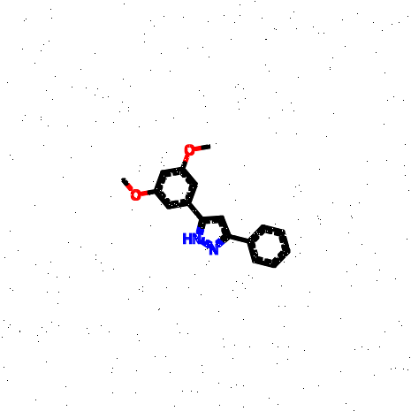 COc1cc(OC)cc(-c2cc(-c3ccccc3)n[nH]2)c1